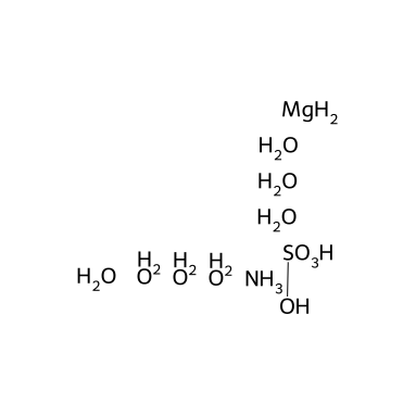 N.O.O.O.O.O.O.O.O=S(=O)(O)O.[MgH2]